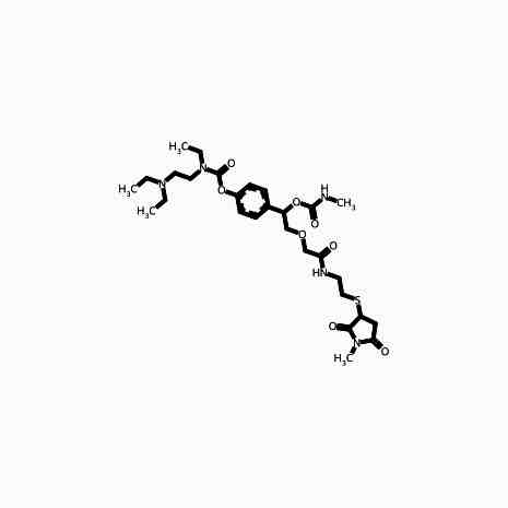 CCN(CC)CCN(CC)C(=O)Oc1ccc(C(COCC(=O)NCCSC2CC(=O)N(C)C2=O)OC(=O)NC)cc1